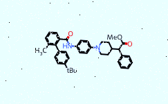 COC(=O)C(c1ccccc1)C1CCN(c2ccc(NC(=O)c3cccc(C)c3-c3ccc(C(C)(C)C)cc3)cc2)CC1